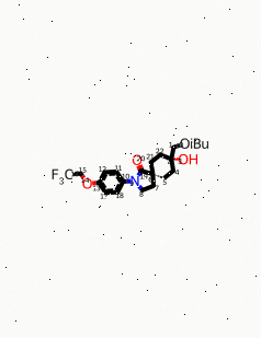 CC(C)COC[C@]1(O)CC[C@@]2(CCN(c3ccc(OCC(F)(F)F)cc3)C2=O)CC1